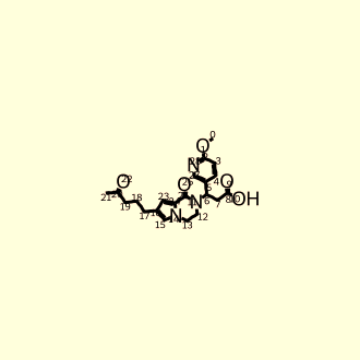 COc1ccc(C(CC(=O)O)N2CCn3cc(CCCC(C)=O)cc3C2=O)cn1